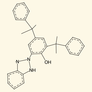 CC(C)(c1ccccc1)c1cc(N2[N]c3ccccc3N2)c(O)c(C(C)(C)c2ccccc2)c1